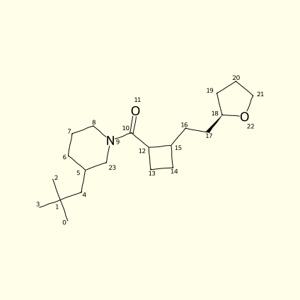 CC(C)(C)CC1CCCN(C(=O)C2CCC2CC[C@H]2CCCO2)C1